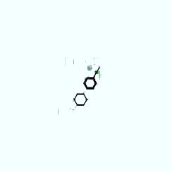 CCC[C@H]1CC[C@H](c2ccc(C(F)(F)CC(=O)OCC)cc2)CC1